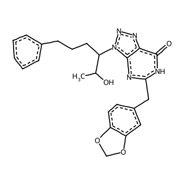 CC(O)C(CCCc1ccccc1)n1nnc2c(=O)[nH]c(Cc3ccc4c(c3)OCO4)nc21